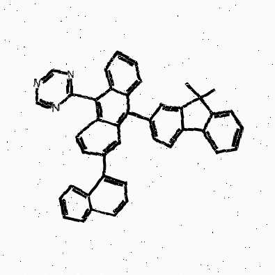 CC1(C)c2ccccc2-c2ccc(-c3c4ccccc4c(-c4ncncn4)c4ccc(-c5cccc6ccccc56)cc34)cc21